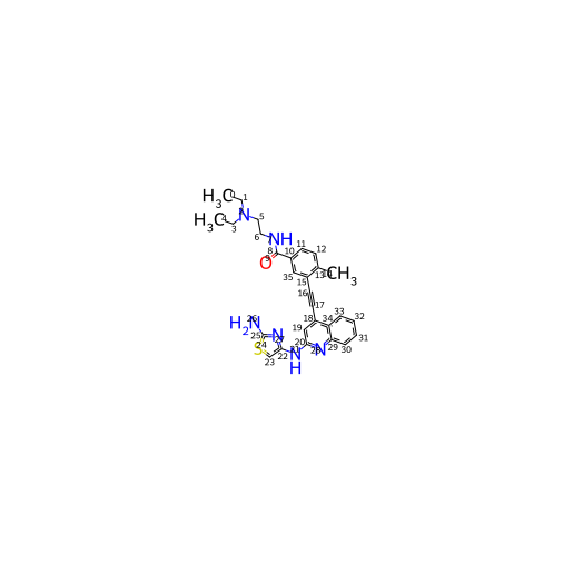 CCN(CC)CCNC(=O)c1ccc(C)c(C#Cc2cc(Nc3csc(N)n3)nc3ccccc23)c1